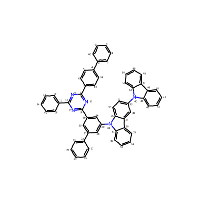 c1ccc(-c2ccc(-c3nc(-c4ccccc4)nc(-c4cc(-c5ccccc5)cc(-n5c6ccccc6c6cc(-n7c8ccccc8c8ccccc87)ccc65)c4)n3)cc2)cc1